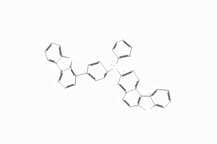 c1ccc(N(c2ccc(-c3cccc4c3sc3ccccc34)cc2)c2ccc3c(ccc4sc5ccccc5c43)c2)cc1